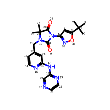 CC(C)(C)c1cc(N2C(=O)N(Cc3ccnc(Nc4cnccn4)c3)C(C)(C)C2=O)no1